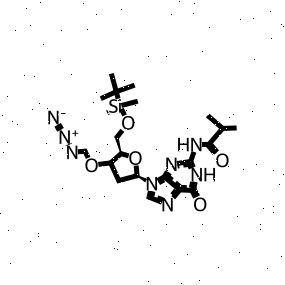 CC(C)C(=O)Nc1nc2c(ncn2[C@H]2CC(OCN=[N+]=[N-])[C@@H](CO[Si](C)(C)C(C)(C)C)O2)c(=O)[nH]1